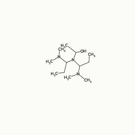 CCC(N(C)C)N(C(C)O)C(CC)N(C)C